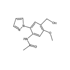 COc1cc(NC(C)=O)c(-n2cccn2)cc1CO